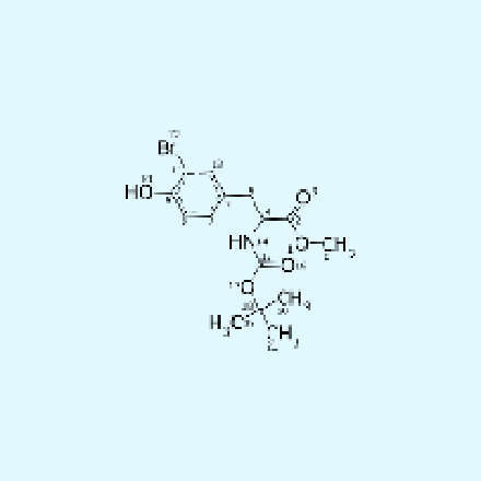 COC(=O)C(Cc1ccc(O)c(Br)c1)NC(=O)OC(C)(C)C